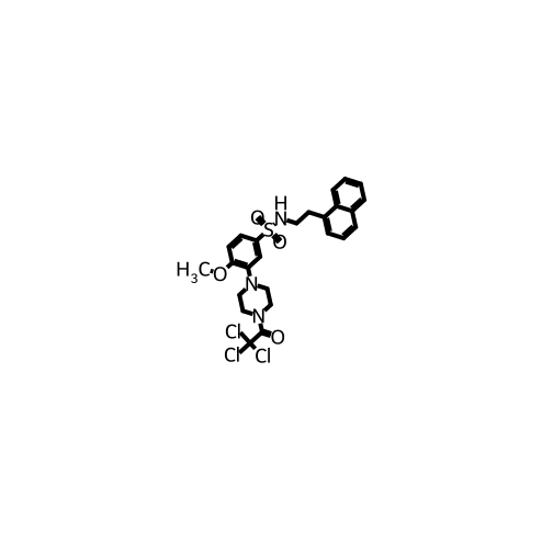 COc1ccc(S(=O)(=O)NCCc2cccc3ccccc23)cc1N1CCN(C(=O)C(Cl)(Cl)Cl)CC1